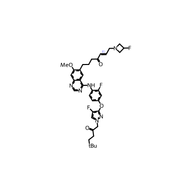 COc1cc2ncnc(Nc3ccc(Oc4nn(CC(=O)CCC(C)(C)C)cc4F)cc3F)c2cc1CCCC(=O)/C=C/CN1CC(F)C1